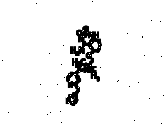 CC(C)(COc1cccc2c1C(N)=NS(=O)(=O)N2)NC(=O)c1ccnc(Cn2ccnc2)c1